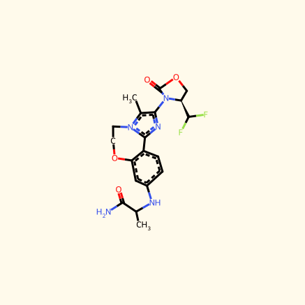 Cc1c(N2C(=O)OC[C@H]2C(F)F)nc2n1CCOc1cc(NC(C)C(N)=O)ccc1-2